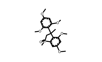 COc1cc(OC)c(C(C)(CC=O)c2c(OC)cc(OC)cc2OC)c(OC)c1